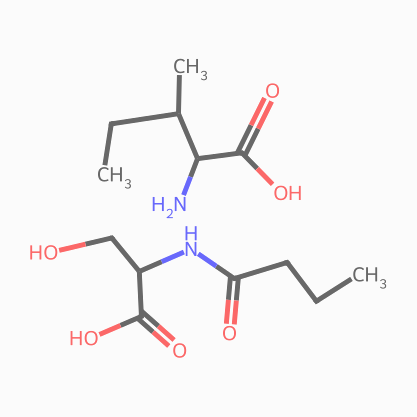 CCC(C)C(N)C(=O)O.CCCC(=O)NC(CO)C(=O)O